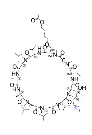 C/C=C/C[C@@H](C)[C@@H](O)[C@@H]1C(=O)N[C@@H](CC)C(=O)N(C)CC(=O)N(C)[C@@H]([C@@H](C)OCCCCOC(C)=O)C(=O)N[C@@H](C(C)C)C(=O)N(C)[C@@H](CC(C)C)C(=O)N[C@@H](C)C(=O)N[C@H](C)C(=O)N(C)[C@@H](CC(C)C)C(=O)N(C)[C@@H](CC(C)C)C(=O)N(C)[C@@H](C(C)C)C(=O)N1C